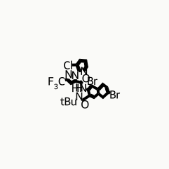 CC(C)(C)NC(=O)C1=CC2CC(Br)=CC=C2C(Br)=C1NC(=O)c1cc(C(F)(F)F)nn1-c1ncccc1Cl